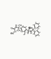 CC(C)(C)OC(=O)NC(C)(C)c1ccc(S(=O)(=O)N[Si](c2ccccc2)(c2ccccc2)C(C)(C)C)c(F)c1